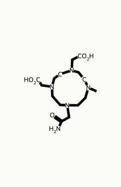 CN1CCN(CC(N)=O)CCN(CC(=O)O)CCN(CC(=O)O)CC1